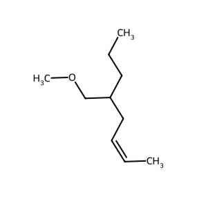 C/C=C\CC(CCC)COC